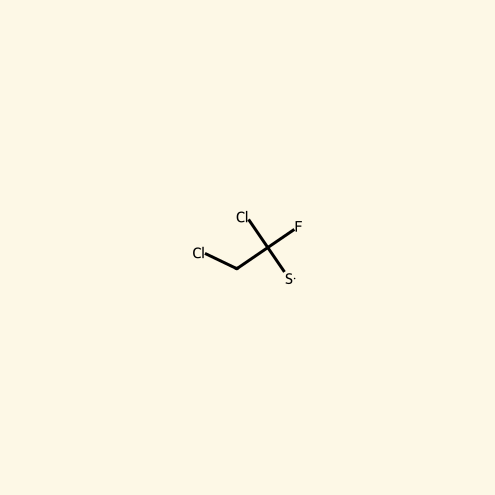 FC([S])(Cl)CCl